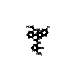 CC(Nc1ncnc(N)c1C#N)c1nc2ccc(F)cc2c(NCCO)c1-c1ccccc1